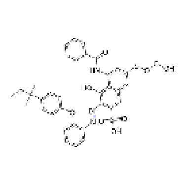 CCC(C)(C)c1ccc(Oc2ccccc2/N=N/c2c(S(=O)(=O)O)cc3cc(SOOO)cc(NC(=O)c4ccccc4)c3c2O)cc1